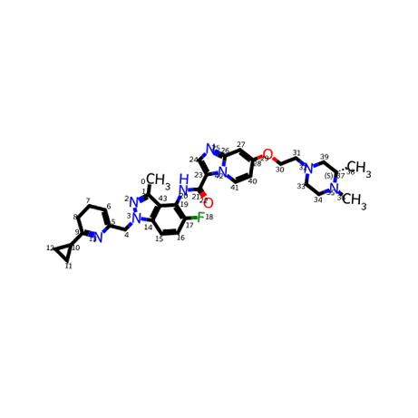 Cc1nn(CC2=CCCC(C3CC3)=N2)c2ccc(F)c(NC(=O)c3cnc4cc(OCCN5CCN(C)[C@@H](C)C5)ccn34)c12